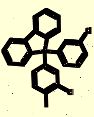 Cc1ccc(C2(c3cccc(Cl)c3)c3ccccc3-c3ccccc32)cc1Cl